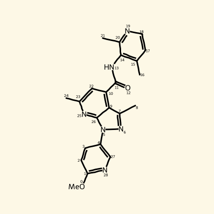 COc1ccc(-n2nc(C)c3c(C(=O)Nc4c(C)ccnc4C)cc(C)nc32)cn1